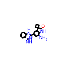 N=C/N=C(\Nc1ccccc1)c1cc(N)c2c(c1)C1(CCC1)C(=O)N2